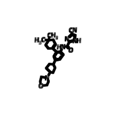 CC1(C)CC=C(c2cc(C3CCC(N4CCOCC4)CC3)ccc2NC(=O)c2nc(C#N)c[nH]2)CC1